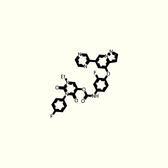 CCn1cc(OC(=O)Nc2ccc(Oc3cc(-c4cnccn4)cn4nccc34)c(F)c2)c(=O)n(-c2ccc(F)cc2)c1=O